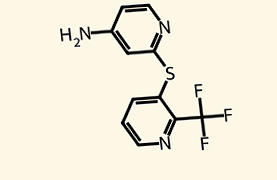 Nc1ccnc(Sc2cccnc2C(F)(F)F)c1